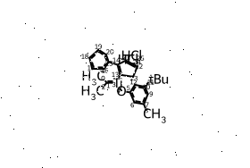 C[C](C)=[Ti]([O]c1cc(C)cc(C(C)(C)C)c1)[C]1=C(c2ccccc2)C=CC1.Cl.Cl